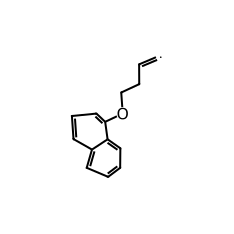 [CH]=CCCOc1cccc2ccccc12